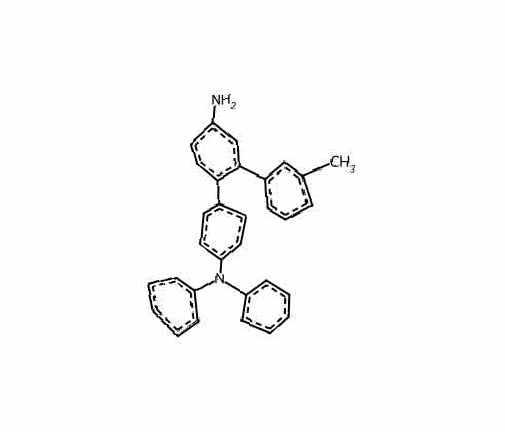 Cc1cccc(-c2cc(N)ccc2-c2ccc(N(c3ccccc3)c3ccccc3)cc2)c1